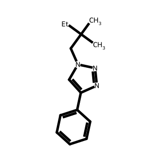 CCC(C)(C)Cn1cc(-c2ccccc2)nn1